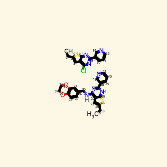 CCc1cc2c(Cl)nc(-c3cccnc3)nc2s1.CCc1cc2c(NCc3ccc4c(c3)OCCO4)nc(-c3cccnc3)nc2s1